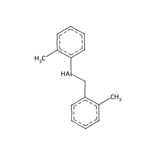 [CH2]c1ccccc1[AsH]Cc1ccccc1C